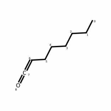 CCCCCCC=C=O